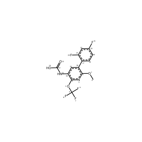 COc1nc(OC(F)(F)F)c(NC(=O)O)cc1-c1ccc(F)cc1F